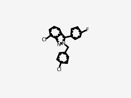 Fc1ccc(-c2c3cccc(Cl)c3nn2Cc2ccc(Cl)cc2)cc1